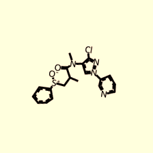 CC(C[S+]([O-])c1ccccc1)C(=O)N(C)c1cn(-c2cccnc2)nc1Cl